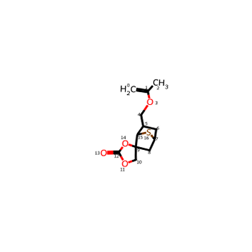 C=C(C)OCC1CC2CC3(COC(=O)O3)C1S2